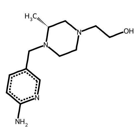 C[C@@H]1CN(CCO)CCN1Cc1ccc(N)nc1